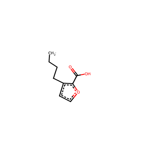 [CH2]CCCc1ccoc1C(=O)O